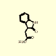 COC(=O)CC1C(=O)Nc2cc[c]cc21